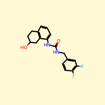 O=C(NCc1ccc(F)c(F)c1)Nc1cccc2c1CC(O)CC2